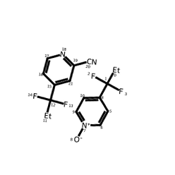 CCC(F)(F)c1cc[n+]([O-])cc1.CCC(F)(F)c1ccnc(C#N)c1